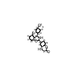 O=C1CNc2cc(C(=O)NC(c3ccc(C(F)(F)F)cc3)c3ncccc3F)ccc2O1